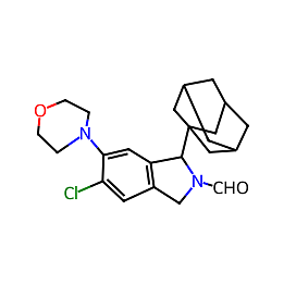 O=CN1Cc2cc(Cl)c(N3CCOCC3)cc2C1C12CC3CC(CC(C3)C1)C2